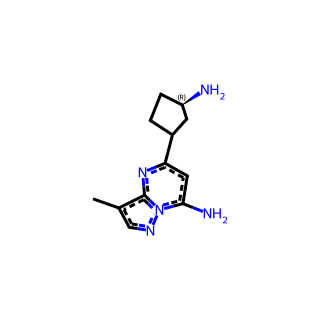 Cc1cnn2c(N)cc(C3CC[C@@H](N)C3)nc12